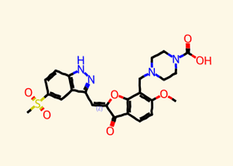 COc1ccc2c(c1CN1CCN(C(=O)O)CC1)O/C(=C\c1n[nH]c3ccc(S(C)(=O)=O)cc13)C2=O